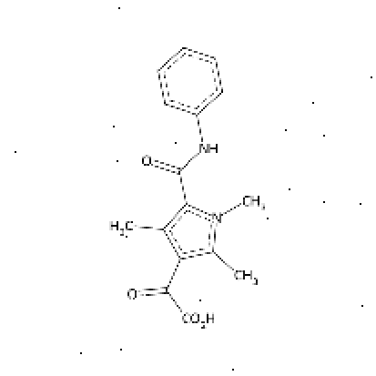 Cc1c(C(=O)C(=O)O)c(C)n(C)c1C(=O)Nc1ccccc1